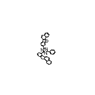 c1ccc(-c2nc(-c3ccc4c(c3)oc3c5ccccc5ccc43)nc(-c3cccc4c3-c3ccc5ccccc5c3C4)n2)cc1